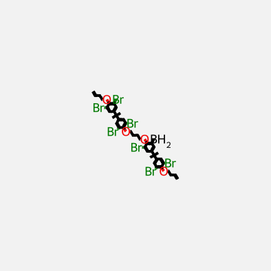 Bc1cc(C(C)(C)c2cc(Br)c(OCCC=C)c(Br)c2)cc(Br)c1OCCCCOc1c(Br)cc(C(C)(C)c2cc(Br)c(OCCC=C)c(Br)c2)cc1Br